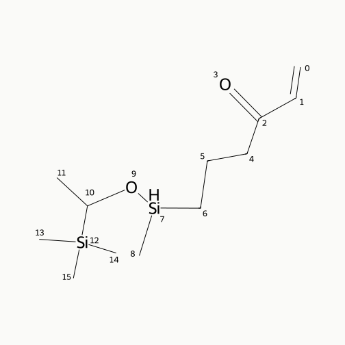 C=CC(=O)CCC[SiH](C)OC(C)[Si](C)(C)C